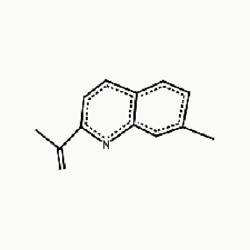 C=C(C)c1ccc2ccc(C)cc2n1